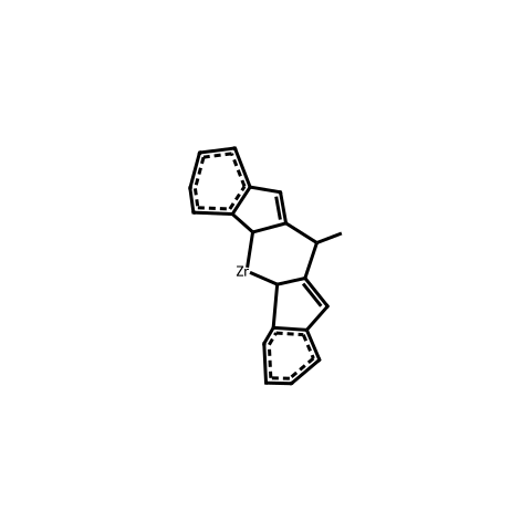 CC1C2=Cc3ccccc3[CH]2[Zr][CH]2C1=Cc1ccccc12